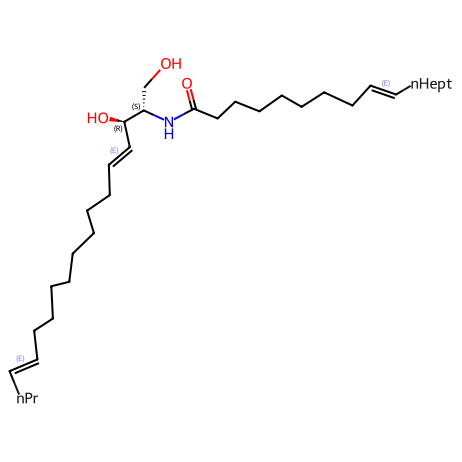 CCC/C=C/CCCCCCCC/C=C/[C@@H](O)[C@H](CO)NC(=O)CCCCCCC/C=C/CCCCCCC